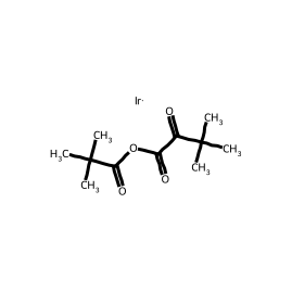 CC(C)(C)C(=O)OC(=O)C(=O)C(C)(C)C.[Ir]